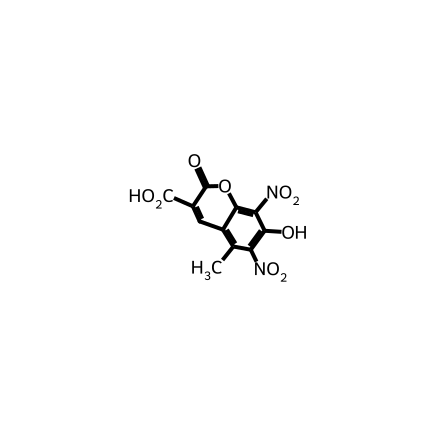 Cc1c([N+](=O)[O-])c(O)c([N+](=O)[O-])c2oc(=O)c(C(=O)O)cc12